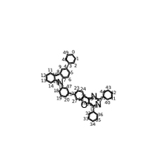 c1ccc(-c2ccc3c(c2)c2ccccc2n3-c2cccc(-c3ccc4c(c3)oc3c(-c5ccccc5)nc(-c5ccccc5)nc34)c2)cc1